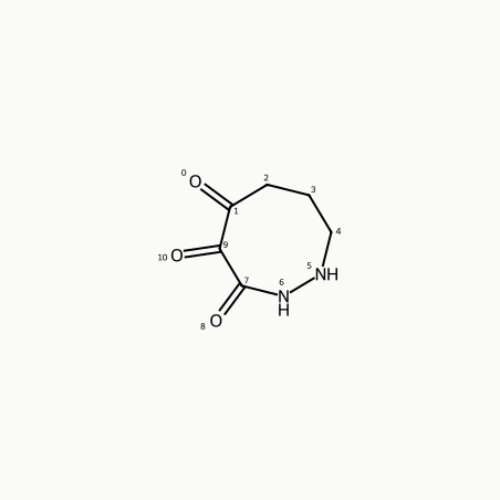 O=C1CCCNNC(=O)C1=O